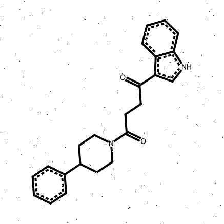 O=C(CCC(=O)N1CCC(c2ccccc2)CC1)c1c[nH]c2ccccc12